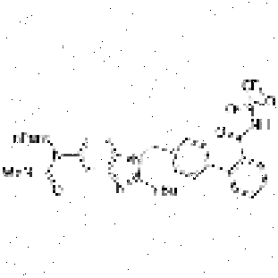 CCCCCN(C(=O)NC)c1ccc2c(c1)nc(CCCC)n2Cc1ccc(-c2ccccc2C(=O)NS(=O)(=O)C(F)(F)F)cc1